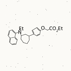 CCOC(=O)COc1ccc(C2CCCCC(N(CC)c3cccc4ccccc34)C2)cc1